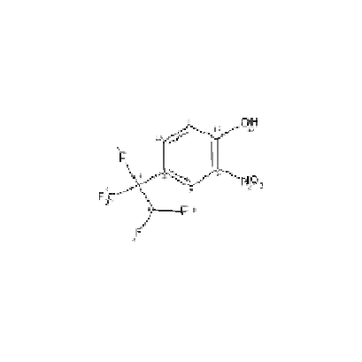 O=[N+]([O-])c1cc(C(F)(C(F)F)C(F)(F)F)ccc1O